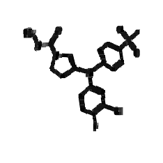 CC(C)(C)OC(=O)N1CCC(N(c2ccc(S(C)(=O)=O)cc2)c2ccc(F)c(Cl)c2)C1